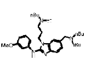 CCCCN(CC)CCCn1c(Nc2cccc(OC)c2)nc2ccc(CN(CCCC)CCCC)cc21